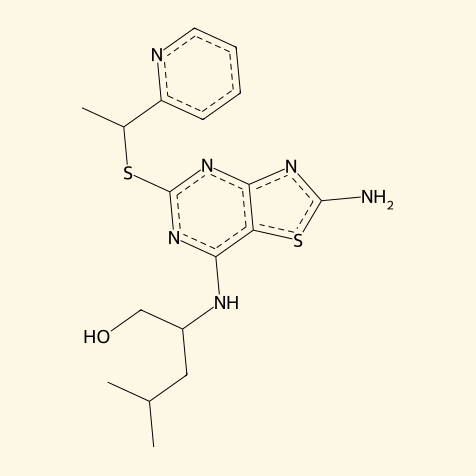 CC(C)CC(CO)Nc1nc(SC(C)c2ccccn2)nc2nc(N)sc12